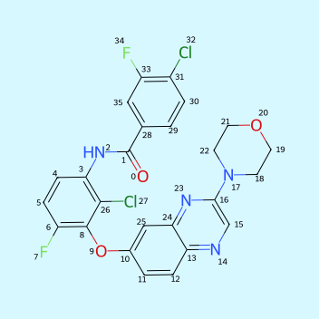 O=C(Nc1ccc(F)c(Oc2ccc3ncc(N4CCOCC4)nc3c2)c1Cl)c1ccc(Cl)c(F)c1